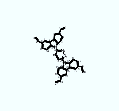 C=Cc1ccc2c(c1)c1cc(C=C)ccc1n2-c1ccc(-n2c3ccc(C=C)cc3c3cc(C=C)ccc32)nn1